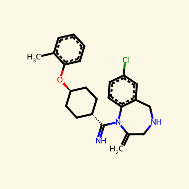 C=C1CNCc2cc(Cl)ccc2N1C(=N)[C@H]1CC[C@H](Oc2ccccc2C)CC1